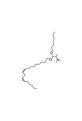 CCCCC/C=C\C/C=C\CCCCCCCCOC(OCCCCCCC)C(C)N(C)C